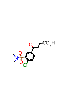 CN(C)S(=O)(=O)c1cc(C(=O)CCC(=O)O)ccc1Cl